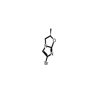 C[C@@H]1Cn2cc(Br)nc2O1